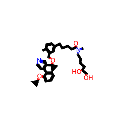 Cc1ccc(CCCCC(=O)N(C)CCCCC(O)CO)cc1COC1(c2cnccc2-c2ccccc2OC2CC2)CC1